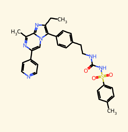 CCc1nc2c(C)nc(-c3ccncc3)cn2c1-c1ccc(CCNC(=O)NS(=O)(=O)c2ccc(C)cc2)cc1